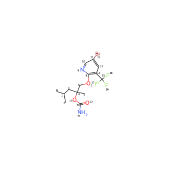 CC(C)CC(C)(COc1ncc(Br)cc1C(F)(F)F)OC(N)=O